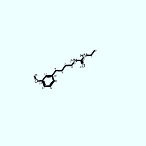 CCNC(=O)NCCCCc1cccc(OC)c1